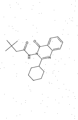 CC(C)(C)CC(=O)Nn1c(C2CCCCC2)nc2ccccc2c1=O